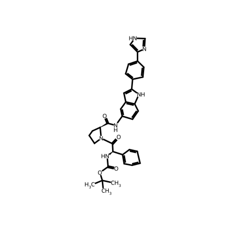 CC(C)(C)OC(=O)N[C@@H](C(=O)N1CCC[C@H]1C(=O)Nc1ccc2[nH]c(-c3ccc(-c4c[nH]cn4)cc3)cc2c1)c1ccccc1